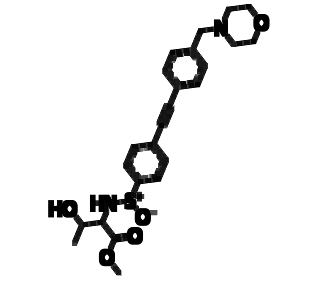 COC(=O)C(N[S+]([O-])c1ccc(C#Cc2ccc(CN3CCOCC3)cc2)cc1)C(C)O